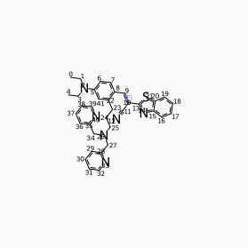 CCN(CC)c1ccc(/C=C(\C#N)c2nc3ccccc3s2)c(CCCN(Cc2ccccn2)Cc2ccccn2)c1